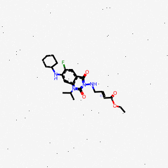 CCOC(=O)/C=C/CNn1c(=O)c2cc(F)c(NC3CCCCC3)cc2n(C(C)C)c1=O